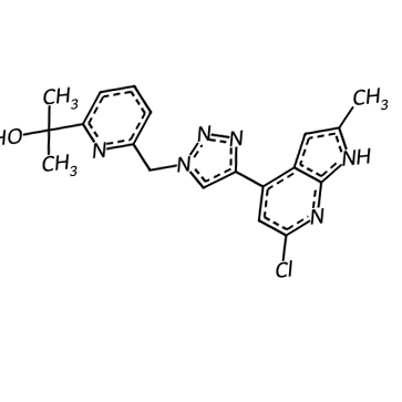 Cc1cc2c(-c3cn(Cc4cccc(C(C)(C)O)n4)nn3)cc(Cl)nc2[nH]1